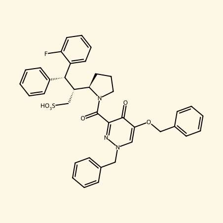 O=C(c1nn(Cc2ccccc2)cc(OCc2ccccc2)c1=O)N1CCC[C@@H]1[C@H](CS(=O)(=O)O)[C@H](c1ccccc1)c1ccccc1F